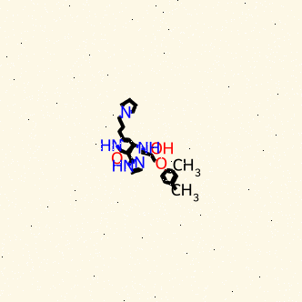 Cc1ccc(OC[C@H](O)CNc2cc(CCCN3CCCC3)[nH]c(=O)c2-c2ncc[nH]2)c(C)c1